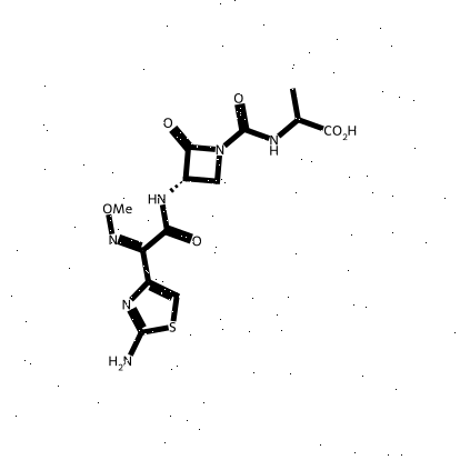 CON=C(C(=O)N[C@H]1CN(C(=O)NC(C)C(=O)O)C1=O)c1csc(N)n1